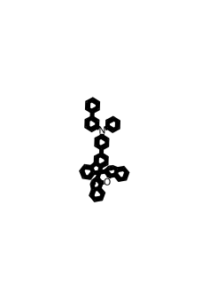 c1ccc(-c2cccc(N(c3ccccc3)c3ccc(-c4ccc5c(c4)-c4ccccc4C54c5ccc6ccccc6c5Oc5c4ccc4ccccc54)cc3)c2)cc1